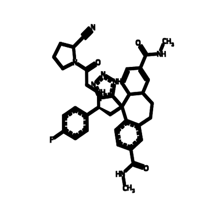 CNC(=O)C1=CC2CCc3cc(C(=O)NC)ccc3C(C[C@H](NCC(=O)N3CCCC3C#N)c3ccc(F)cc3)(c3nnn[nH]3)C2C=C1